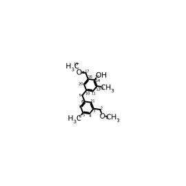 COCc1cc(C)cc(Cc2cc(C)c(O)c(COC)c2)c1